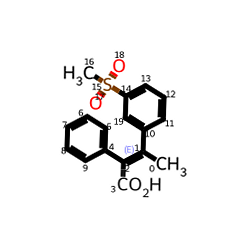 C/C(=C(\C(=O)O)c1ccccc1)c1cccc(S(C)(=O)=O)c1